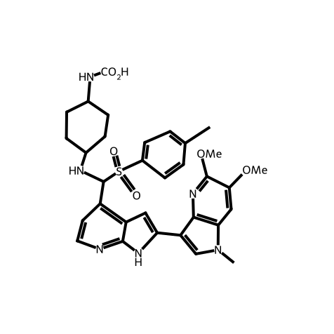 COc1cc2c(nc1OC)c(-c1cc3c(C(NC4CCC(NC(=O)O)CC4)S(=O)(=O)c4ccc(C)cc4)ccnc3[nH]1)cn2C